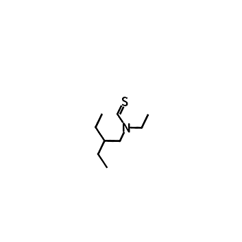 CCC(CC)CN(C=S)CC